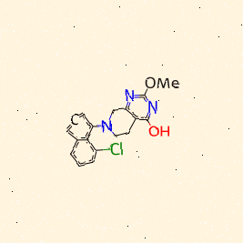 COc1nc(O)c2c(n1)CN(c1cccc3cccc(Cl)c13)CC2